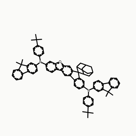 CC(C)(C)c1ccc(N(c2ccc3c(c2)C(C)(C)c2ccccc2-3)c2ccc3c(c2)C2(c4cc5oc6cc(N(c7ccc(C(C)(C)C)cc7)c7ccc8c(c7)C(C)(C)c7ccccc7-8)ccc6c5cc4-3)C3CC4CC(C3)CC2C4)cc1